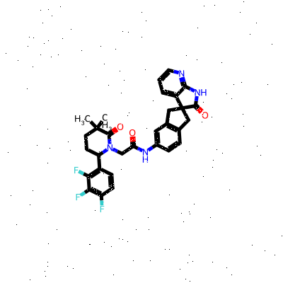 CC1(C)CCC(c2ccc(F)c(F)c2F)N(CC(=O)Nc2ccc3c(c2)CC2(C3)C(=O)Nc3ncccc32)C1=O